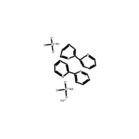 [O-][Cl+3]([O-])([O-])[O-].[O-][Cl+3]([O-])([O-])[O-].[Pd+2].c1ccc(-c2ccccn2)nc1.c1ccc(-c2ccccn2)nc1